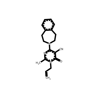 C=CCn1c(C)nc(N2CCc3ccccc3CC2)c(C#N)c1=O